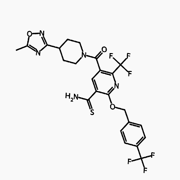 Cc1nc(C2CCN(C(=O)c3cc(C(N)=S)c(OCc4ccc(C(F)(F)F)cc4)nc3C(F)(F)F)CC2)no1